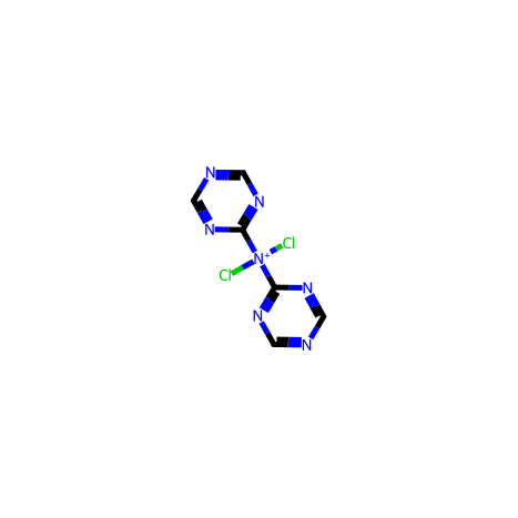 Cl[N+](Cl)(c1ncncn1)c1ncncn1